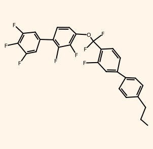 CCCc1ccc(-c2ccc(C(F)(F)Oc3ccc(-c4cc(F)c(F)c(F)c4)c(F)c3F)c(F)c2)cc1